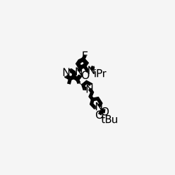 Cc1cncc2c1c(C[C@@H]1CCN(CCC3CCN(C(=O)OC(C)(C)C)CC3)C1)cn2-c1ccc(F)cc1C(=O)N(C)C(C)C